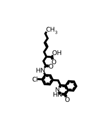 CCC/C=C/CC(CC(=O)Nc1cc(Cc2n[nH]c(=O)c3ccccc23)ccc1Cl)C(=O)O